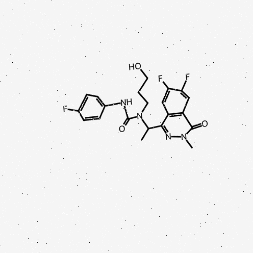 CC(c1nn(C)c(=O)c2cc(F)c(F)cc12)N(CCCO)C(=O)Nc1ccc(F)cc1